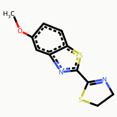 COc1ccc2sc(C3=NCCS3)nc2c1